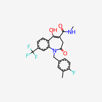 CNC(=O)C1=C(O)c2ccc(C(F)(F)F)cc2N(Cc2ccc(F)c(C)c2)C(=O)C1